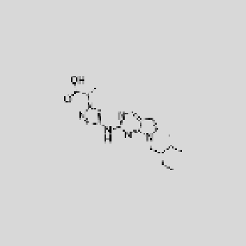 CC[C@@H](Cn1ccc2cnc(Nc3cnn(C(C)C(=O)O)c3)nc21)C(C)C